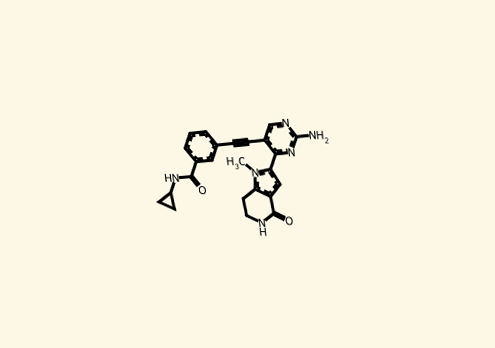 Cn1c(-c2nc(N)ncc2C#Cc2cccc(C(=O)NC3CC3)c2)cc2c1CCNC2=O